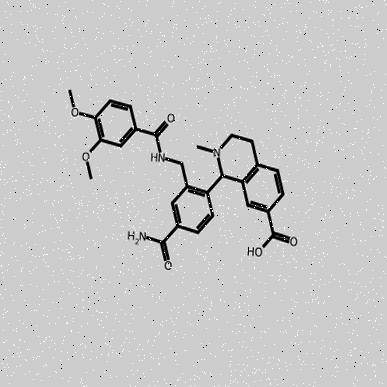 COc1ccc(C(=O)NCc2cc(C(N)=O)ccc2C2c3cc(C(=O)O)ccc3CCN2C)cc1OC